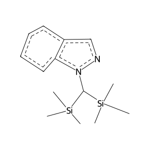 C[Si](C)(C)C(n1ncc2ccccc21)[Si](C)(C)C